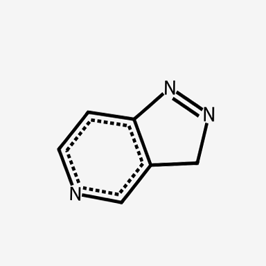 c1cc2c(cn1)CN=N2